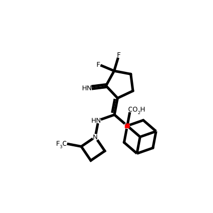 N=C1/C(=C(\NN2CCC2C(F)(F)F)N2CC3CC(C2)C3CC(=O)O)CCC1(F)F